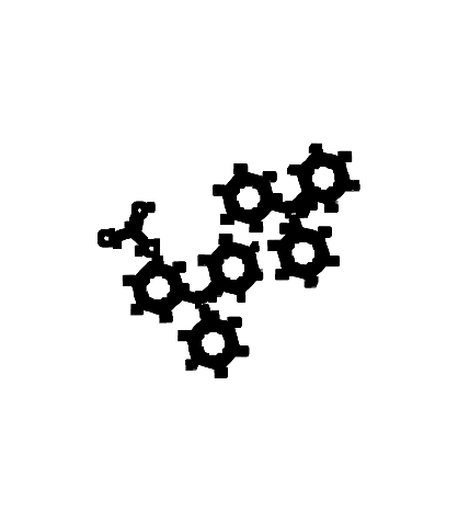 O=C(Cl)Cl.c1ccc(P(c2ccccc2)c2ccccc2)cc1.c1ccc(P(c2ccccc2)c2ccccc2)cc1